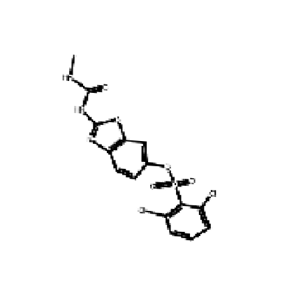 CNC(=O)Nc1nc2ccc(OS(=O)(=O)c3c(Cl)cccc3Cl)cc2s1